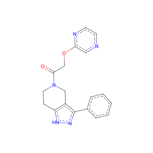 O=C(COc1cnccn1)N1CCc2[nH]nc(-c3ccccc3)c2C1